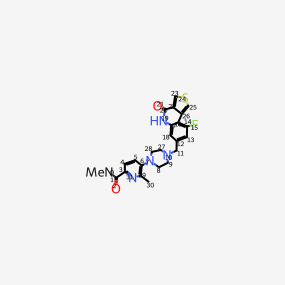 CNC(=O)c1ccc(N2CCN(Cc3cc(F)c4c(c3)[nH]c(=O)c3cscc34)CC2)c(C)n1